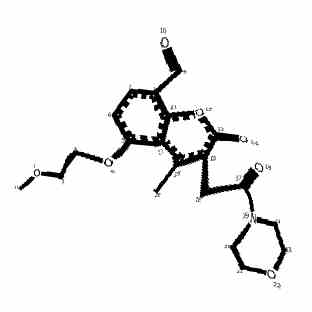 COCCOc1ccc(C=O)c2oc(=O)c(CC(=O)N3CCOCC3)c(C)c12